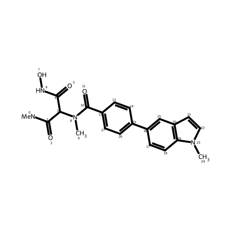 CNC(=O)C(C(=O)NO)N(C)C(=O)c1ccc(-c2ccc3c(ccn3C)c2)cc1